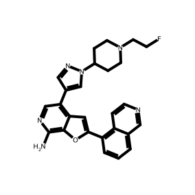 Nc1ncc(-c2cnn(C3CCN(CCF)CC3)c2)c2cc(-c3cccc4cnccc34)oc12